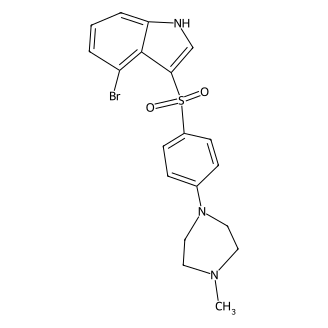 CN1CCN(c2ccc(S(=O)(=O)c3c[nH]c4cccc(Br)c34)cc2)CC1